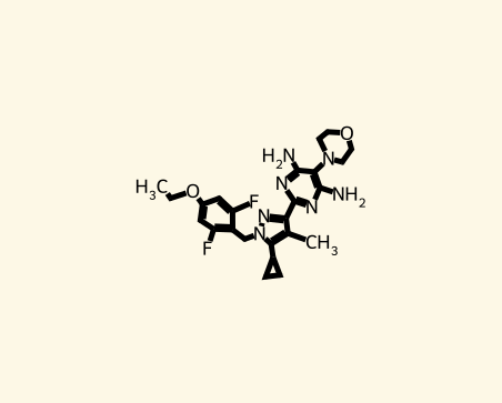 CCOc1cc(F)c(Cn2nc(-c3nc(N)c(N4CCOCC4)c(N)n3)c(C)c2C2CC2)c(F)c1